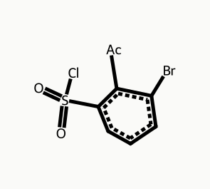 CC(=O)c1c(Br)cccc1S(=O)(=O)Cl